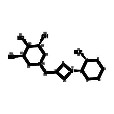 C[C@@H]1CCCC[C@@H]1N1CC(CN2C[C@@H](O)[C@H](O)[C@@H](O)C2)C1